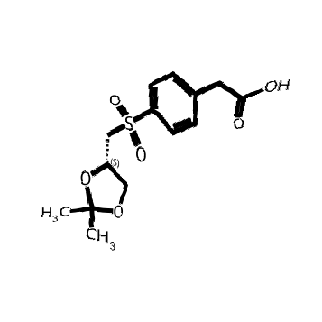 CC1(C)OC[C@@H](CS(=O)(=O)c2ccc(CC(=O)O)cc2)O1